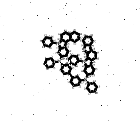 c1ccc(N(c2ccc(-c3cccc(N(c4ccccc4)c4ccc5c6ccc7c8ccccc8sc7c6n(-c6ccccc6)c5c4)c3)cc2)c2ccc3c4c5ccccc5ccc4n(-c4ccccc4)c3c2)cc1